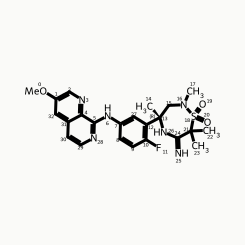 COc1cnc2c(Nc3ccc(F)c([C@]4(C)CN(C)S(=O)(=O)C(C)(C)C(=N)N4)c3)nccc2c1